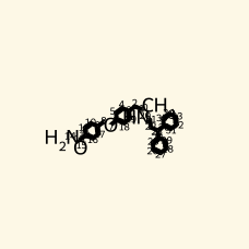 CC(Cc1ccc(OCc2ccc(C(N)=O)cc2)cc1)NCCC(c1ccccc1)c1ccccc1